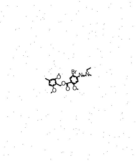 CCN(C)/C=N/c1cc(OC)c(C(=O)OCc2c(OC)cc(C)cc2OC)cc1Br